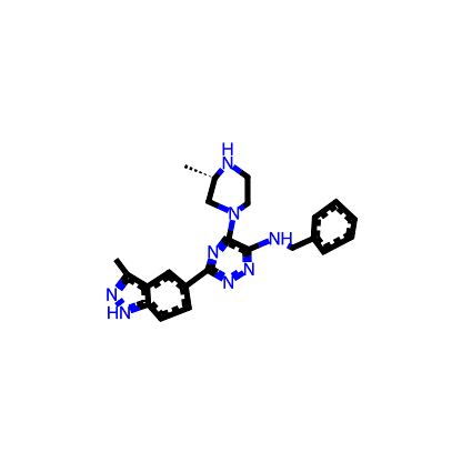 Cc1n[nH]c2ccc(-c3nnc(NCc4ccccc4)c(N4CCN[C@@H](C)C4)n3)cc12